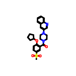 CS(=O)(=O)c1ccc(OC2CCCC2)c(C(=O)N2CCN(c3cnc4ccccc4c3)CC2)c1